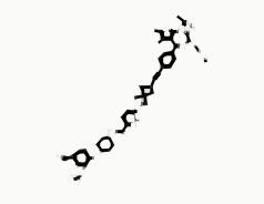 COCC[C@@H]1N=C(c2ccc(C#CC3CC4(C3)CN(c3ccc(C(=O)NC5CCC(Oc6ccc(C#N)c(OC(F)(F)F)c6)CC5)nn3)C4)cc2)c2c(sc(C)c2C)-n2c(C)nnc21